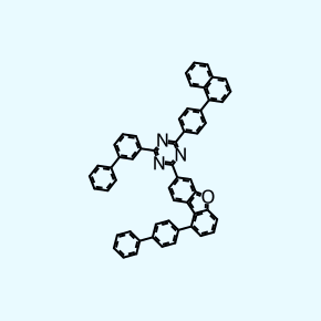 c1ccc(-c2ccc(-c3cccc4oc5cc(-c6nc(-c7ccc(-c8cccc9ccccc89)cc7)nc(-c7cccc(-c8ccccc8)c7)n6)ccc5c34)cc2)cc1